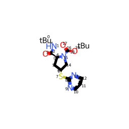 CC(C)(C)NC(=O)[C@@H]1C[C@@H](Sc2ncccn2)CN1C(=O)OC(C)(C)C